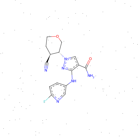 N#C[C@H]1CCOC[C@@H]1n1cc(C(N)=O)c(Nc2ccc(F)nc2)n1